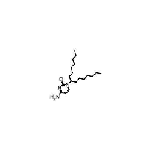 CCCCCCCC(CCCCCCC)n1ccc(N)nc1=O